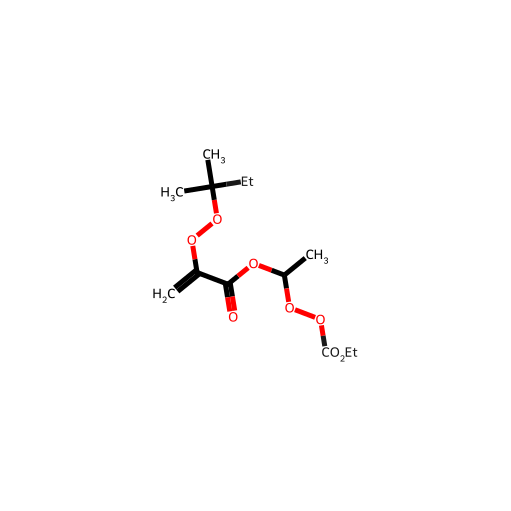 C=C(OOC(C)(C)CC)C(=O)OC(C)OOC(=O)OCC